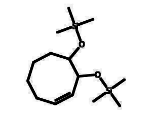 C[Si](C)(C)OC1C=CCCCCC1O[Si](C)(C)C